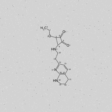 CCOC1C(=O)C(=O)C1NCCc1ccc2c(n1)NCCC2